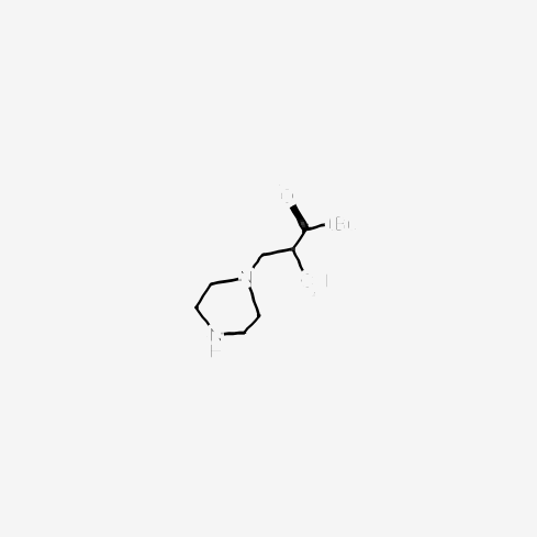 CC(C)(C)C(=O)C(O)CN1CCNCC1